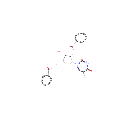 CO[C@H]1[C@@H](COC(=O)c2ccccc2)OC(n2cc(C)c(=O)[nH]c2=O)[C@@H]1OC(=O)c1ccccc1